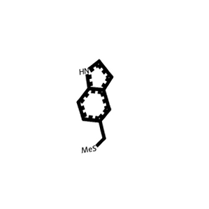 CSCc1ccc2[nH]ccc2c1